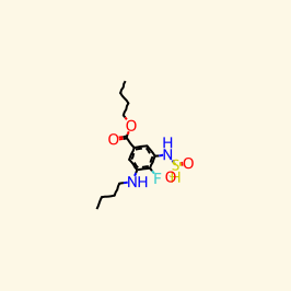 CCCCNc1cc(C(=O)OCCCC)cc(N[SH](=O)=O)c1F